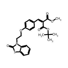 COC(=O)C(=Cc1ccc(OCCn2c(=O)sc3ccccc32)cc1)C(=O)OC(C)(C)C